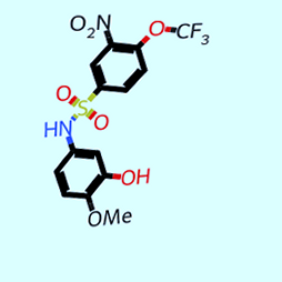 COc1ccc(NS(=O)(=O)c2ccc(OC(F)(F)F)c([N+](=O)[O-])c2)cc1O